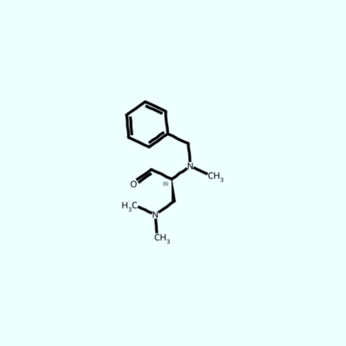 CN(C)C[C@@H](C=O)N(C)Cc1ccccc1